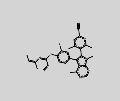 C#Cc1cc(C)c(-c2c(-c3ccc(O/C(N=C)=N/C(C)=C\C)c(F)c3)c3c(C)ncnc3n2C)c(C)n1